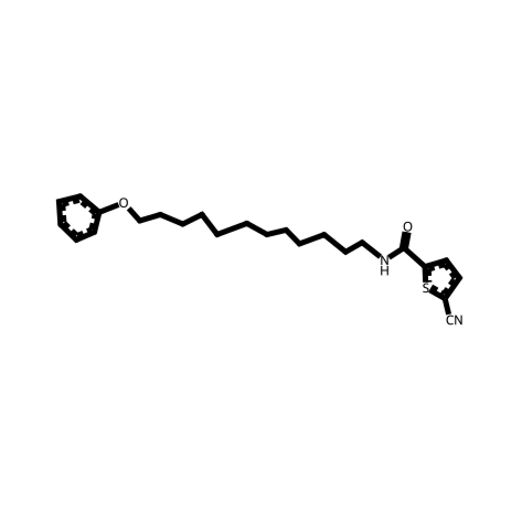 N#Cc1ccc(C(=O)NCCCCCCCCCCCCOc2ccccc2)s1